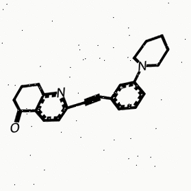 O=C1CCCc2nc(C#Cc3cccc(N4CCCCC4)c3)ccc21